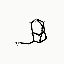 NCC1C2CC3CC1CN(C3)C2